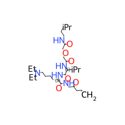 C=CCC(=O)CNC(=O)[C@H](CCCCN(CC)CC)NC(=O)[C@@H](NC(=O)COCC(=O)NCCC(C)C)C(C)C